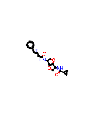 O=C(C/C=C/c1ccccc1)NC1COC2C(NC(=O)C3CC3)COC12